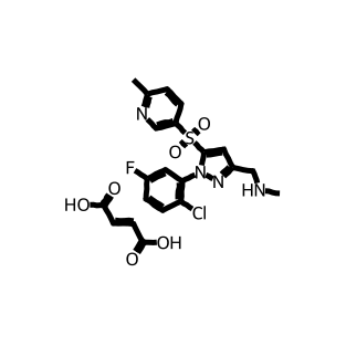 CNCc1cc(S(=O)(=O)c2ccc(C)nc2)n(-c2cc(F)ccc2Cl)n1.O=C(O)C=CC(=O)O